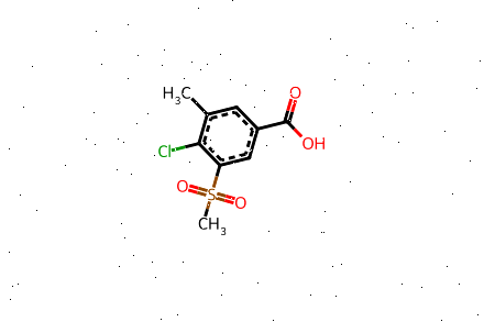 Cc1cc(C(=O)O)cc(S(C)(=O)=O)c1Cl